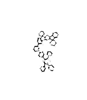 C1=C2C(=CC3c4ccccc4C4(CCCCC4)C13)C1(CCCCC1)c1ccc(-c3cccc(-c4ccc(-c5nc(-c6ccccc6)c(-c6ccccc6)nc5-c5ccccc5)cc4)c3)cc12